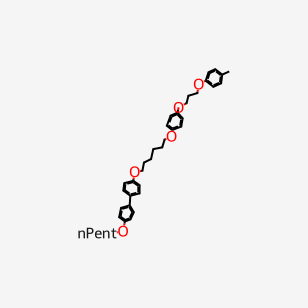 CCCCCOc1ccc(-c2ccc(OCCCCCCOc3ccc(OCCCOc4ccc(C)cc4)cc3)cc2)cc1